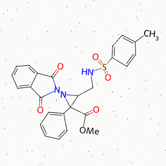 COC(=O)C1(c2ccccc2)C(CNS(=O)(=O)c2ccc(C)cc2)N1N1C(=O)c2ccccc2C1=O